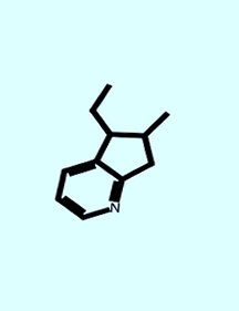 CCC1c2cccnc2CC1C